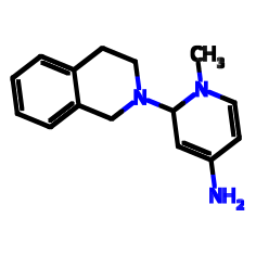 CN1C=CC(N)=CC1N1CCc2ccccc2C1